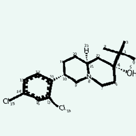 CC(C)(C)[C@@]1(O)CCN2C[C@H](c3ccc(Cl)cc3Cl)CC[C@H]2C1